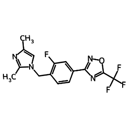 Cc1cn(Cc2ccc(-c3noc(C(F)(F)F)n3)cc2F)c(C)n1